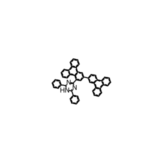 c1ccc(C2=NC(c3cc(-c4ccc5c6ccccc6c6ccccc6c5c4)cc4c5ccccc5c5ccccc5c34)=NC(c3ccccc3)N2)cc1